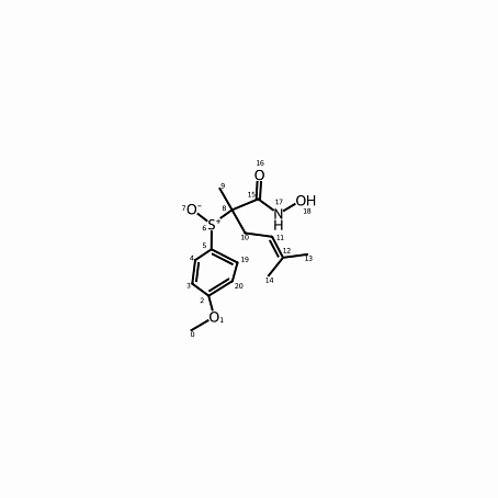 COc1ccc([S+]([O-])C(C)(CC=C(C)C)C(=O)NO)cc1